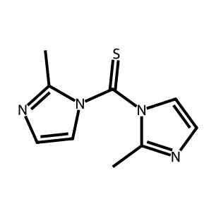 Cc1nccn1C(=S)n1ccnc1C